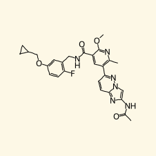 COc1nc(C)c(-c2ccc3nc(NC(C)=O)cn3n2)cc1C(=O)NCc1cc(OCC2CC2)ccc1F